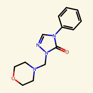 O=c1n(-c2ccccc2)cnn1CN1CCOCC1